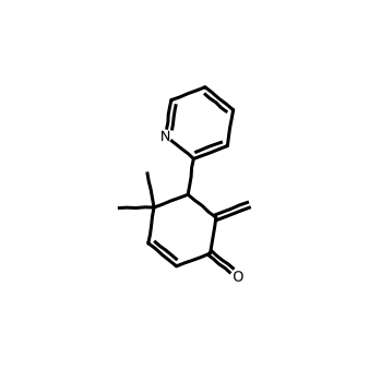 C=C1C(=O)C=CC(C)(C)C1c1ccccn1